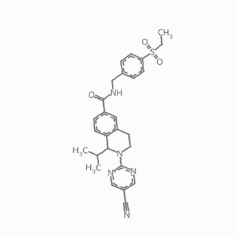 CCS(=O)(=O)c1ccc(CNC(=O)c2ccc3c(c2)CCN(c2ncc(C#N)cn2)C3C(C)C)cc1